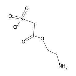 NCCOC(=O)CS(=O)(=O)Cl